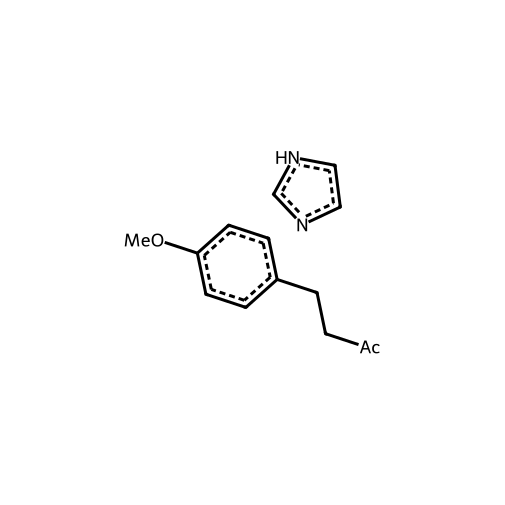 COc1ccc(CCC(C)=O)cc1.c1c[nH]cn1